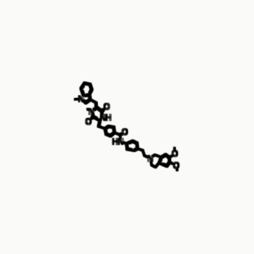 COc1cc2c(cc1OC)CN(CCc1ccc(NC(=O)c3ccc(C=c4[nH]c(=O)c(=Cc5cn(C)c6ccccc56)n(C)c4=O)cc3)cc1)CC2